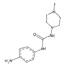 CN1CCN(NC(=O)Nc2ccc(N)cc2)CC1